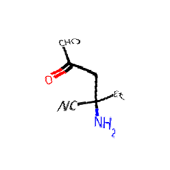 CCC(N)(C#N)CC(=O)C=O